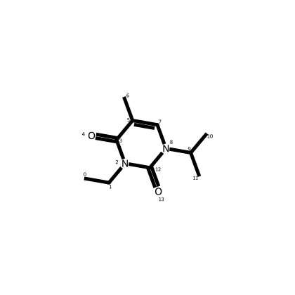 CCn1c(=O)c(C)cn(C(C)C)c1=O